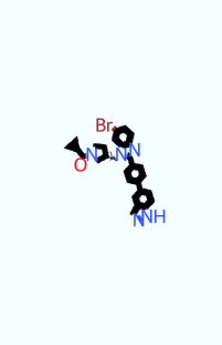 O=C(C1CC1)N1CC[C@H](Cn2c(-c3ccc(-c4ccc5[nH]ncc5c4)cc3)nc3ccc(Br)cc32)C1